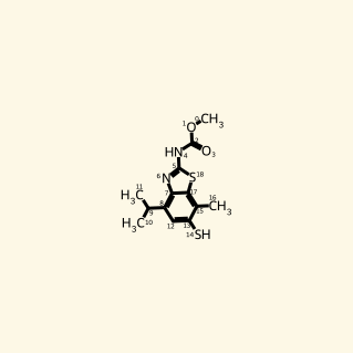 COC(=O)Nc1nc2c(C(C)C)cc(S)c(C)c2s1